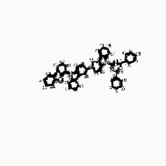 c1ccc(-c2nc(-c3ccccc3)nc(-n3c4ccccc4c4cc(-c5ccc6c(c5)c5ccccc5n6-c5cccc6c5oc5ccccc56)ccc43)n2)cc1